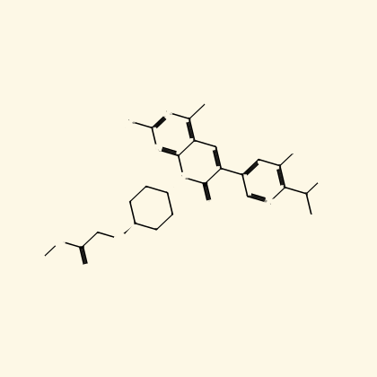 COC(=O)CO[C@H]1CC[C@H](n2c(=O)c(-c3cnc(C(C)O)c(F)c3)cc3c(C)nc(N)nc32)CC1